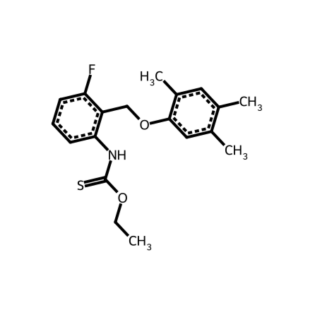 CCOC(=S)Nc1cccc(F)c1COc1cc(C)c(C)cc1C